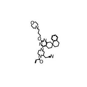 C=CC(=O)N1CCN(c2nc(OCCCN3CCOCC3)nc3c2CCC2(CCCc4ccccc42)C3)CC1CC#N